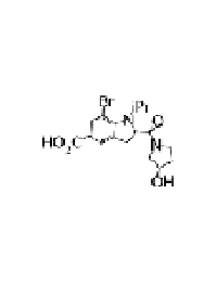 CC(C)N1c2c(Br)cc(C(=O)O)cc2CC1C(=O)N1CC[C@@H](O)C1